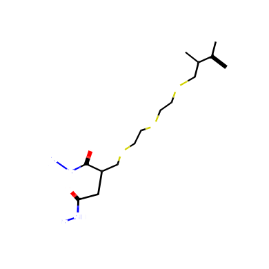 C=C(C)C(C)CSCCSCCSCC(CC(=O)NN)C(=O)NN